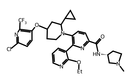 CCOc1ncccc1-c1nc(C(=O)N[C@@H]2CCN(C)C2)ccc1N1CCC(Oc2ccc(Cl)nc2C(F)(F)F)CC1C1CC1